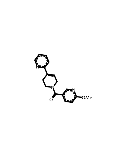 COc1ccc(C(=O)N2CC=C(c3ccccn3)CC2)cn1